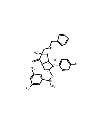 C[C@@H](O[C@H]1CN2C(=O)C(C)(CNCc3ccccc3)C[C@H]2[C@@H]1c1ccc(F)cc1)c1cc(C(F)(F)F)cc(C(F)(F)F)c1